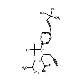 CC(C)C[C@@H](C(N)=O)N(CC#N)[C@@H](c1ccc(/C=C/C(C)(C)O)cc1)C(F)(F)F